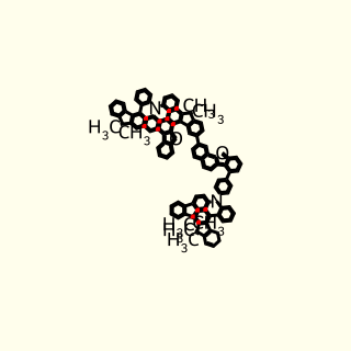 CC1(C)C2=C(CCC=C2)c2c(-c3ccccc3N(c3ccc(-c4cccc5oc6c7cc(-c8ccc9c(c8)-c8cc(-c%10ccccc%10N(c%10ccccc%10-c%10ccc%11c(c%10)oc%10ccccc%10%11)c%10ccccc%10-c%10cccc%11c%10-c%10ccccc%10C%11(C)C)ccc8C9(C)C)ccc7ccc6c45)cc3)c3ccc4c(c3)C(C)(C)c3ccccc3-4)cccc21